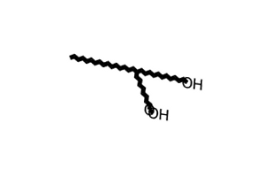 CCCCCCCCCCCCCCCCC(CCCCCCCCCCCO)CCCCCCCCOO